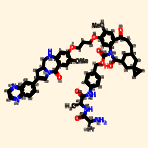 COc1cc2c(cc1OCCCOc1cc3c(cc1OC)C(=O)CCC1CC(CC4(CC4)C1)C(O)N3C(=O)OCc1ccc(NC(=O)[C@H](C)NC(=O)[C@@H](N)C(C)C)cc1)NCC1CC(c3ccc4nccnc4c3)=CN1C2=O